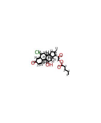 CCCCC(=O)OCC(=O)[C@H]1[C@H](C)C[C@H]2[C@@H]3C[C@H](Cl)C4=CC(=O)C=C[C@]4(C)[C@H]3[C@@H](O)C[C@@]21C